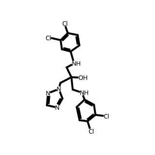 OC(CNc1ccc(Cl)c(Cl)c1)(CNc1ccc(Cl)c(Cl)c1)Cn1cncn1